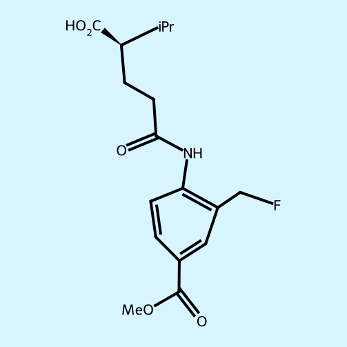 COC(=O)c1ccc(NC(=O)CC[C@@H](C(=O)O)C(C)C)c(CF)c1